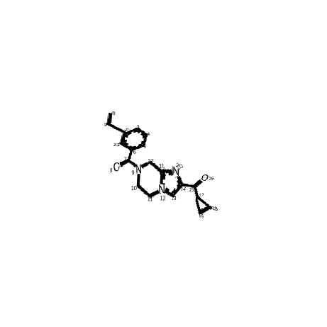 CCc1cccc(C(=O)N2CCn3cc(C(=O)C4CC4)nc3C2)c1